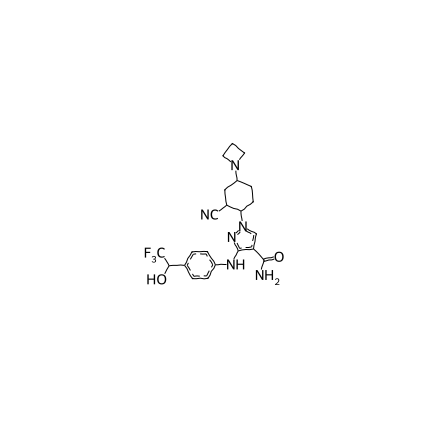 N#CC1CC(N2CCC2)CCC1n1cc(C(N)=O)c(Nc2ccc(C(O)C(F)(F)F)cc2)n1